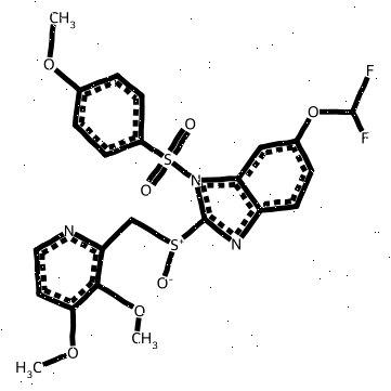 COc1ccc(S(=O)(=O)n2c([S+]([O-])Cc3nccc(OC)c3OC)nc3ccc(OC(F)F)cc32)cc1